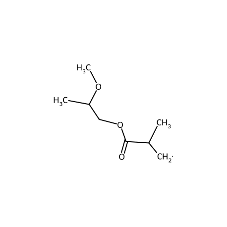 [CH2]C(C)C(=O)OCC(C)OC